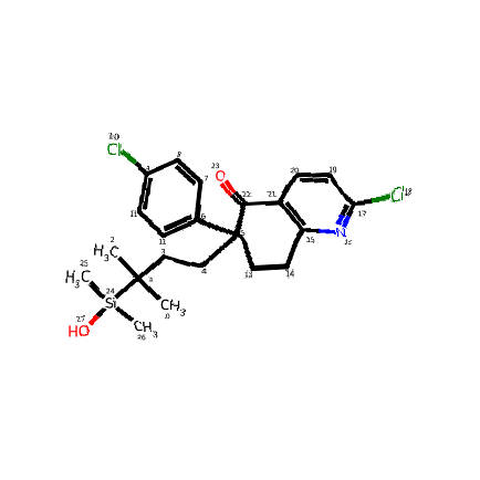 CC(C)(CCC1(c2ccc(Cl)cc2)CCc2nc(Cl)ccc2C1=O)[Si](C)(C)O